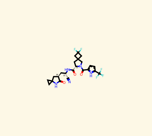 N#C[C@H](C[C@@H]1CC2(CC2)NC1=O)NC(=O)[C@@H]1CC2(CN1C(=O)c1ccc(C(F)(F)F)[nH]1)CC(F)(F)C2